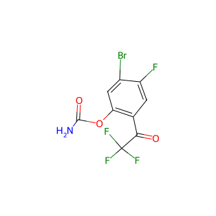 NC(=O)Oc1cc(Br)c(F)cc1C(=O)C(F)(F)F